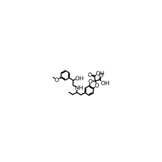 CCC(Cc1ccc2c(c1)OC(C(=O)O)(C(=O)O)O2)NCC(O)c1cccc(OC)c1